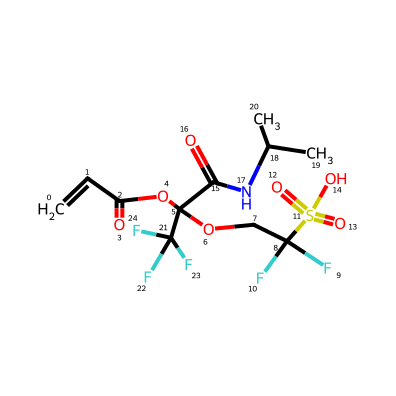 C=CC(=O)OC(OCC(F)(F)S(=O)(=O)O)(C(=O)NC(C)C)C(F)(F)F